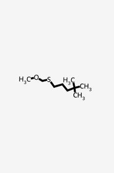 COCSCCCC(C)(C)C